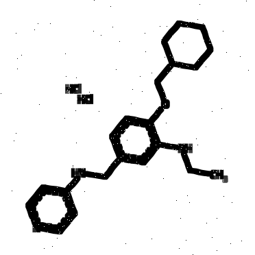 CCNc1cc(CNc2ccncc2)ccc1OCC1CCCCC1.Cl.Cl